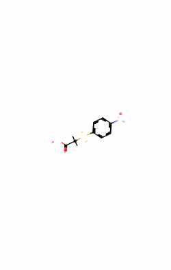 COC(=O)C(C)(C)S(=O)(=O)c1ccc([N+](=O)[O-])cc1